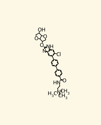 C[N+](C)(C)CCNC(=O)c1ccc(-c2ccc(-c3cc4nc(OC5COC6C(O)COC56)[nH]c4cc3Cl)cc2)cc1